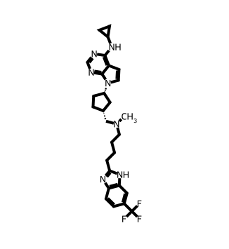 CN(CCCCc1nc2ccc(C(F)(F)F)cc2[nH]1)C[C@@H]1CC[C@H](n2ccc3c(NC4CC4)ncnc32)C1